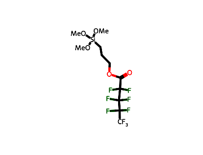 CO[Si](CCCOC(=O)C(F)(F)C(F)(F)C(F)(F)C(F)(F)F)(OC)OC